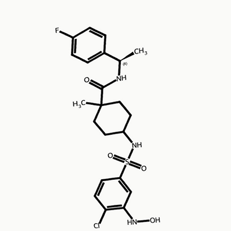 C[C@@H](NC(=O)C1(C)CCC(NS(=O)(=O)c2ccc(Cl)c(NO)c2)CC1)c1ccc(F)cc1